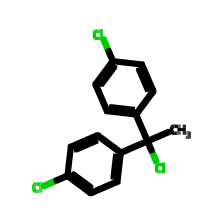 CC(Cl)(c1ccc(Cl)cc1)c1ccc(Cl)cc1